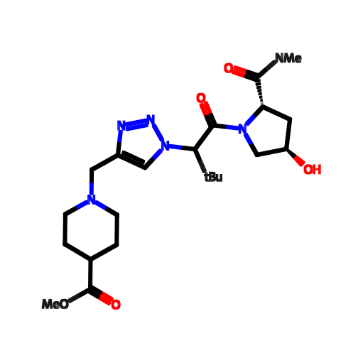 CNC(=O)[C@@H]1C[C@@H](O)CN1C(=O)C(n1cc(CN2CCC(C(=O)OC)CC2)nn1)C(C)(C)C